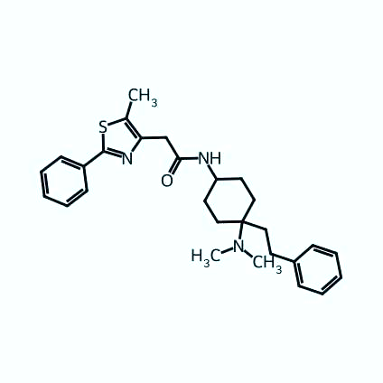 Cc1sc(-c2ccccc2)nc1CC(=O)NC1CCC(CCc2ccccc2)(N(C)C)CC1